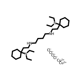 CCN(CC)C1(CCNCCCCNCCC2(N(CC)CC)CCCCC2)CCCCC1.[Cl-].[Cl-].[Cl-].[Cl-].[Cu+2].[Cu+2]